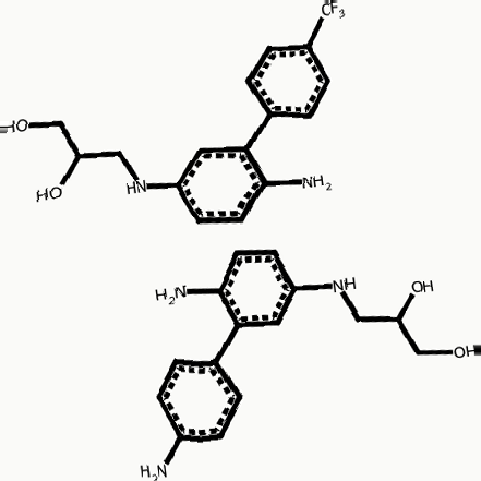 Nc1ccc(-c2cc(NCC(O)CO)ccc2N)cc1.Nc1ccc(NCC(O)CO)cc1-c1ccc(C(F)(F)F)cc1